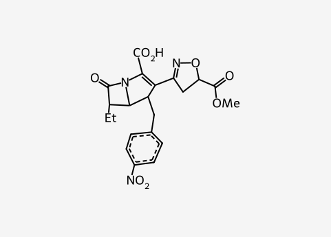 CCC1C(=O)N2C(C(=O)O)=C(C3=NOC(C(=O)OC)C3)C(Cc3ccc([N+](=O)[O-])cc3)C12